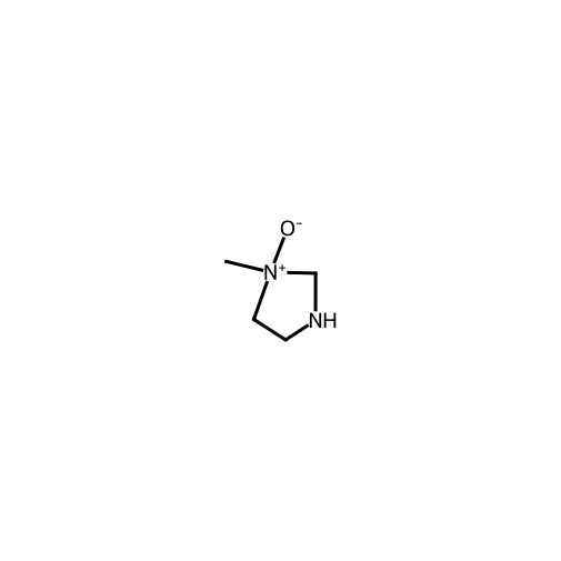 C[N+]1([O-])CCNC1